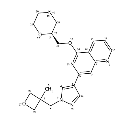 CC1(Cn2cc(-c3cc4ncccc4c(OC[C@@H]4CNCCO4)n3)cn2)COC1